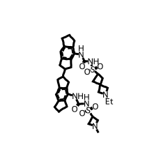 CCN1CC2(CC(S(=O)(=O)NC(=O)Nc3c4c(cc5c3CC(C3Cc6cc7c(c(NC(=O)NS(=O)(=O)C8CN(C)C8)c6C3)CCC7)C5)CCC4)C2)C1